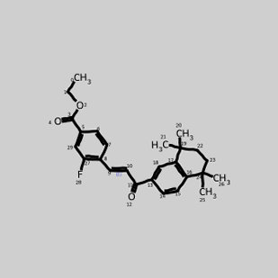 CCOC(=O)c1ccc(/C=C/C(=O)c2ccc3c(c2)C(C)(C)CCC3(C)C)c(F)c1